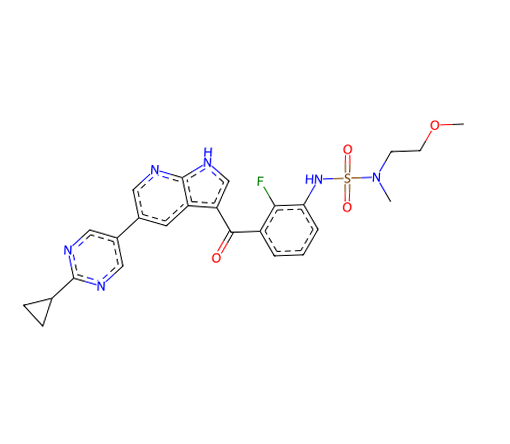 COCCN(C)S(=O)(=O)Nc1cccc(C(=O)c2c[nH]c3ncc(-c4cnc(C5CC5)nc4)cc23)c1F